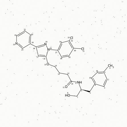 Cc1ccc(C[C@@H](CO)NC(=O)CCCOc2cc(-c3cccnc3)nn2-c2ccc(Cl)c(Cl)c2)cc1